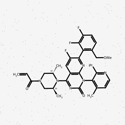 C=CC(=O)N1C[C@H](C)N(c2nc(=O)n(-c3c(C)ccnc3C(C)C)c3nc(-c4c(COC)ccc(F)c4F)c(F)cc23)[C@@H](C)C1